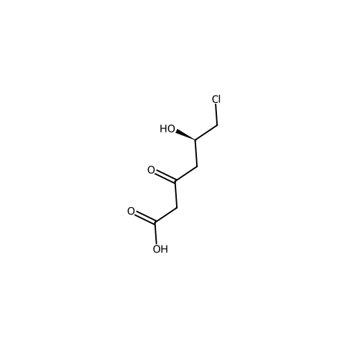 O=C(O)CC(=O)C[C@@H](O)CCl